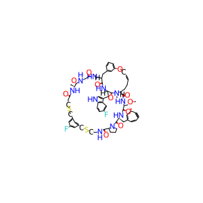 CO[C@H](C)[C@@H]1NC(=O)[C@@H]2CC/C=C\COc3cccc(c3)C[C@H](NC(=O)[C@@H](C)NC(=O)[C@H](C)NC(=O)CCSCc3cc(F)cc(c3)CSCCNC(=O)[C@]3(C)CCCN3C(=O)[C@H](CC3=CCC#CC=C3)NC1=O)C(=O)N[C@@H](Cc1c[nH]c3ccc(F)cc13)C(=O)N2C